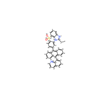 CCc1nc2cccc3c2n1-c1cc(-c2c4ccccc4c(-c4cccc5cccnc45)c4ccccc24)ccc1S3(=O)=O